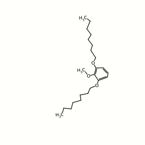 CCCCCCCCOc1cccc(OCCCCCCCC)c1OC